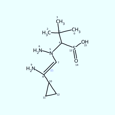 CC(C)(C)C(N(N)/C=C(\N)C1CC1)S(=O)O